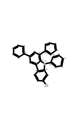 Clc1ccc2c3cc(-c4ccccc4)cc(-c4ccccc4)c3n(-c3ccccc3)c2c1